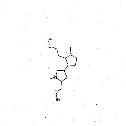 CC(C)OCCC1C(C2CC(COC(C)C)N(C)C2)CCN1C